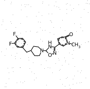 Cn1cc(C2=NOC(N3CCC(Cc4ccc(F)c(F)c4)CC3)N2)ccc1=O